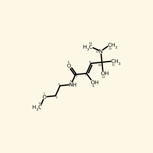 COCCNC(=O)/C(O)=C/C(C)(O)N(C)C